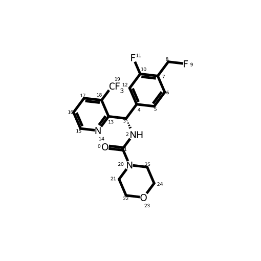 O=C(N[C@@H](c1ccc(CF)c(F)c1)c1ncccc1C(F)(F)F)N1CCOCC1